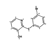 Oc1cccnc1Sc1cccc(Br)c1